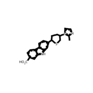 Cc1nccn1C1CCC(c2ccc3c(c2)[nH]c2cc(C(=O)O)ccc23)SC1